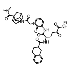 CCNC(=O)C(=O)CC[C@H](NC(=O)C1CCc2ccccc2C1)C(=O)Nc1cccn(CC(=O)NC2C3CC4CC2C(C(=O)N(C)C)(C4)C3)c1=O